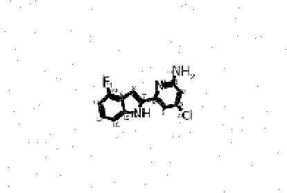 Nc1cc(Cl)cc(-c2cc3c(F)cccc3[nH]2)n1